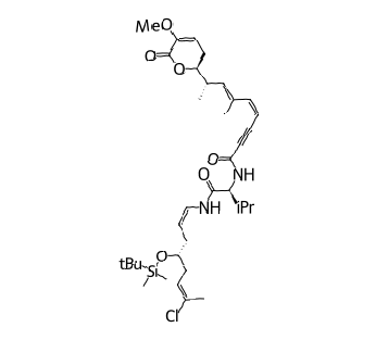 COC1=CC[C@@H]([C@@H](C)/C=C(C)/C=C\C#CC(=O)N[C@H](C(=O)N/C=C\C[C@H](C/C=C(\C)Cl)O[Si](C)(C)C(C)(C)C)C(C)C)OC1=O